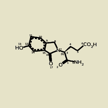 NC(=O)[C@H](CCC(=O)O)N1Cc2ccc(O)cc2C1=O